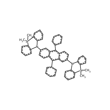 C[Si]1(C)c2ccccc2N(c2ccc3c(-c4ccccc4)c4cc(N5c6ccccc6[Si](C)(C)c6ccccc65)ccc4c(-c4ccccc4)c3c2)c2ccccc21